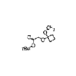 CC(C)(C)OC(=O)COC1(OC(F)(F)F)CCC1